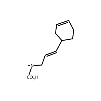 O=C(O)NC/C=C/C1CC=CCC1